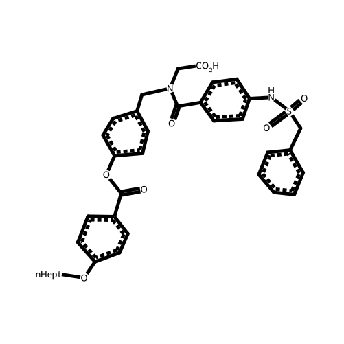 CCCCCCCOc1ccc(C(=O)Oc2ccc(CN(CC(=O)O)C(=O)c3ccc(NS(=O)(=O)Cc4ccccc4)cc3)cc2)cc1